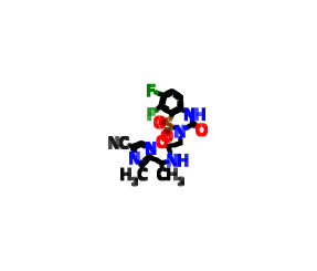 Cc1nc(C#N)cnc1C(C)NC(=O)CN1C(=O)Nc2ccc(F)c(F)c2S1(=O)=O